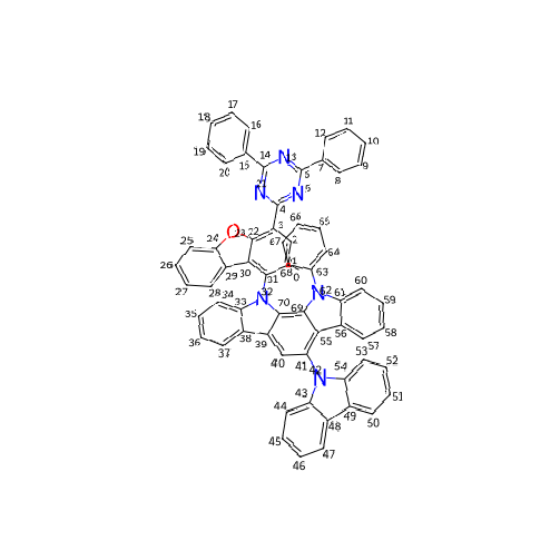 Cc1cc(-c2nc(-c3ccccc3)nc(-c3ccccc3)n2)c2oc3ccccc3c2c1-n1c2ccccc2c2cc(-n3c4ccccc4c4ccccc43)c3c4ccccc4n(-c4ccccc4)c3c21